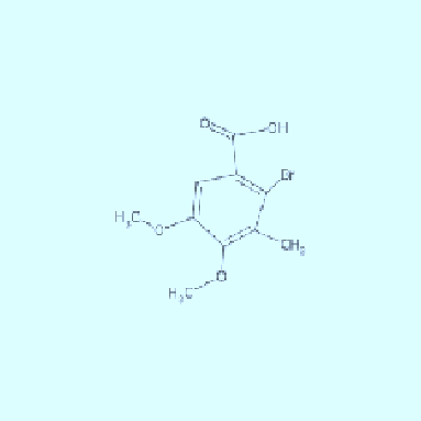 COc1cc(C(=O)O)c(Br)c(C)c1OC